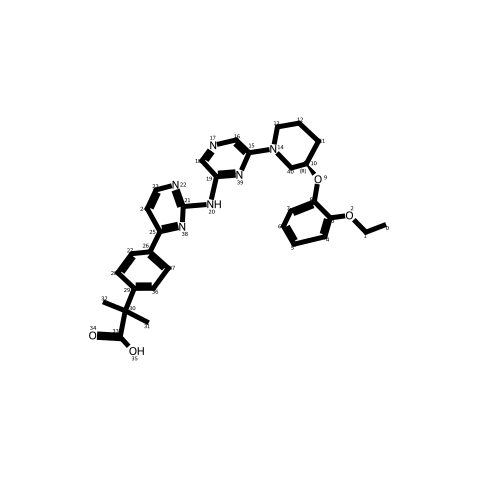 CCOc1ccccc1O[C@@H]1CCCN(c2cncc(Nc3nccc(-c4ccc(C(C)(C)C(=O)O)cc4)n3)n2)C1